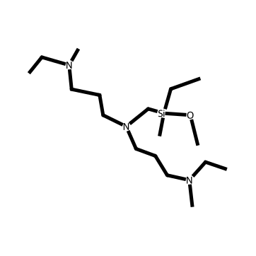 CCN(C)CCCN(CCCN(C)CC)C[Si](C)(CC)OC